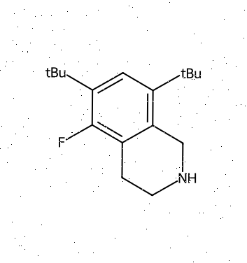 CC(C)(C)c1cc(C(C)(C)C)c2c(c1F)CCNC2